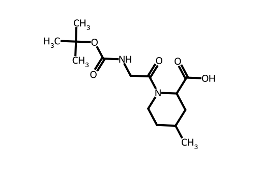 CC1CCN(C(=O)CNC(=O)OC(C)(C)C)C(C(=O)O)C1